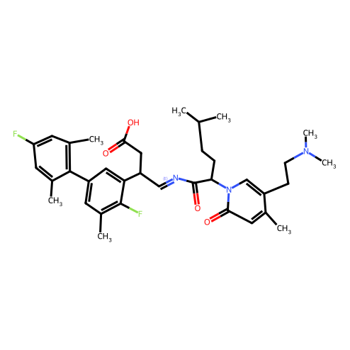 Cc1cc(=O)n(C(CCC(C)C)C(=O)/N=C/C(CC(=O)O)c2cc(-c3c(C)cc(F)cc3C)cc(C)c2F)cc1CCN(C)C